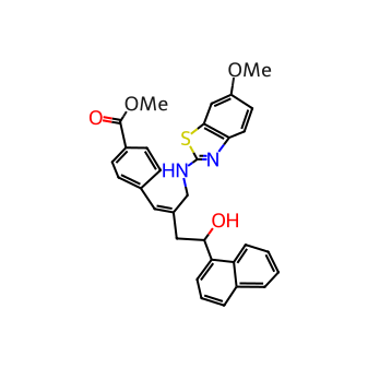 COC(=O)c1ccc(C=C(CNc2nc3ccc(OC)cc3s2)CC(O)c2cccc3ccccc23)cc1